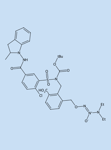 CCN(CC)[N+]([O-])=NOCc1cccc(C(=O)O)c1CN(C(=O)OC(C)(C)C)S(=O)(=O)c1cc(C(=O)NN2c3ccccc3CC2C)ccc1Cl